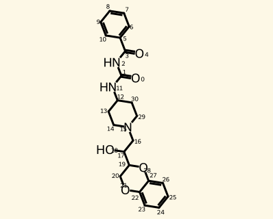 O=C(NC(=O)c1ccccc1)NC1CCN(CC(O)C2COc3ccccc3O2)CC1